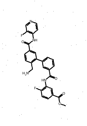 COC(=O)c1ccc(F)c(NC(=O)c2cccc(-c3cc(C(=O)Nc4ccncc4F)ccc3CN)c2)c1